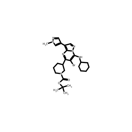 Cn1cc(-c2cnn3c(NC4CCCCC4)c(Br)c(C4CCCN(C(=O)OC(C)(C)C)C4)nc23)cn1